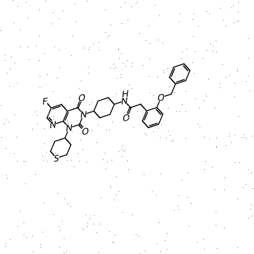 O=C(Cc1ccccc1OCc1ccccc1)NC1CCC(n2c(=O)c3cc(F)cnc3n(C3CCSCC3)c2=O)CC1